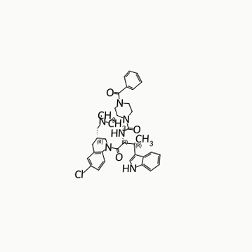 C[C@H](c1c[nH]c2ccccc12)[C@@H](NC(=O)N1CCN(C(=O)c2ccccc2)CC1)C(=O)N1C[C@@H](CN(C)C)Cc2cc(Cl)ccc21